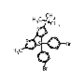 Cc1cc2c(s1)-c1sc([Si](C)(C)C)cc1[Si]2(c1ccc(Br)cc1)c1ccc(Br)cc1